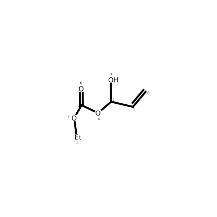 C=CC(O)OC(=O)OCC